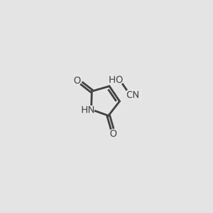 N#CO.O=C1C=CC(=O)N1